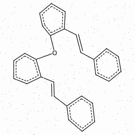 C(=Cc1ccccc1Oc1ccccc1C=Cc1ccccc1)c1ccccc1